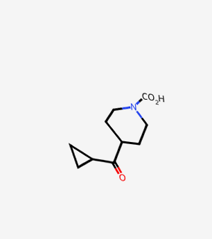 O=C(C1CC1)C1CCN(C(=O)O)CC1